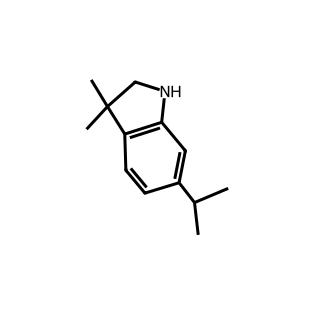 CC(C)c1ccc2c(c1)NCC2(C)C